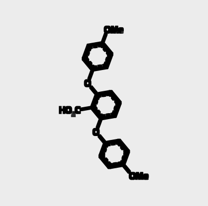 COc1ccc(Oc2cccc(Oc3ccc(OC)cc3)c2C(=O)O)cc1